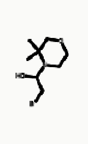 CC1(C)COCCN1C(O)CBr